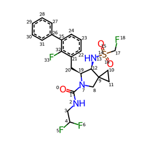 O=C(NCC(F)F)N1CC2(CC2)[C@H](NS(=O)(=O)CF)[C@@H]1Cc1cccc(-c2ccccc2)c1F